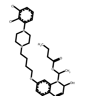 CCCC(=O)OC(C)N1c2cc(OCCCCN3CCN(c4cccc(Cl)c4Cl)CC3)ccc2C=CC1O